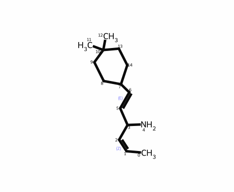 C/C=C\C(N)/C=C/C1CCC(C)(C)CC1